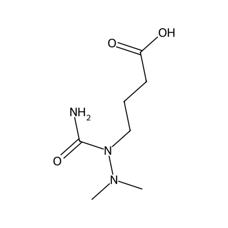 CN(C)N(CCCC(=O)O)C(N)=O